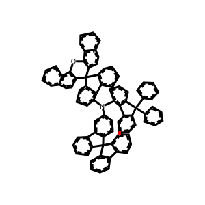 c1ccc(C2(c3ccccc3)c3ccccc3-c3c(N(c4ccc5c(c4)-c4ccccc4C54c5ccccc5-c5ccccc54)c4cccc5c4-c4ccccc4C54c5ccc6ccccc6c5Oc5c4ccc4ccccc54)cccc32)cc1